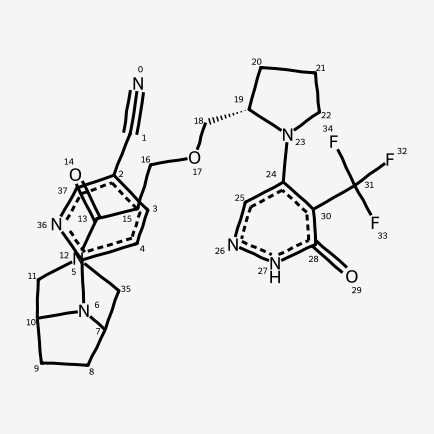 N#Cc1ccc(N2C3CCC2CN(C(=O)CCOC[C@@H]2CCCN2c2cn[nH]c(=O)c2C(F)(F)F)C3)nc1